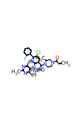 C=CC(=O)N1CCN(/C(=N/C)c2cc(Cl)c(-c3ccccc3F)nc2N(C=O)c2c(C(C)C)nc(C)nc2C(C)C)C(C)C1